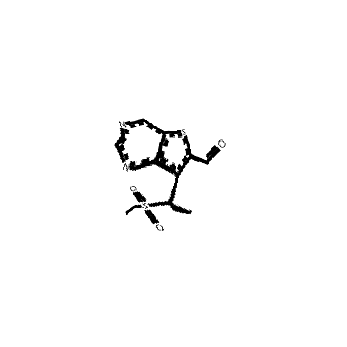 CC(c1c(C=O)sc2cncnc12)S(C)(=O)=O